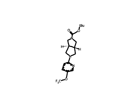 CC(C)(C)OC(=O)N1C[C@@H]2CN(c3ccc(OC(F)(F)F)cn3)C[C@H]2C1